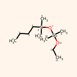 CCCC[Si](C)(C)O[Si](C)(C)OCC